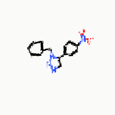 O=[N+]([O-])c1ccc(-c2cnnn2Cc2ccccc2)cc1